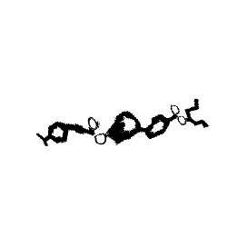 CCCC(CCC)OC(=O)c1ccc(-c2ccc(OC(=O)C#Cc3ccc(C(C)C)cc3)cc2)cc1